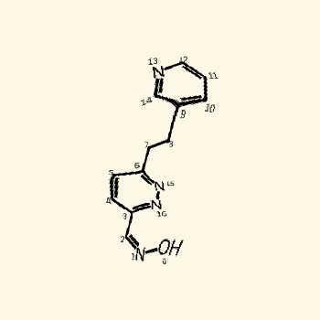 O/N=C\c1ccc(CCc2cccnc2)nn1